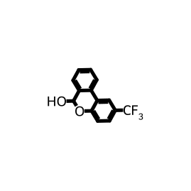 OC1Oc2ccc(C(F)(F)F)cc2-c2ccccc21